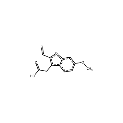 COc1ccc2c(CC(=O)O)c(C=O)oc2c1